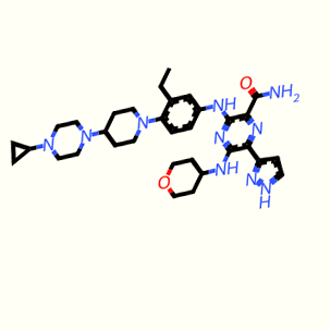 CCc1cc(Nc2nc(NC3CCOCC3)c(-c3cc[nH]n3)nc2C(N)=O)ccc1N1CCC(N2CCN(C3CC3)CC2)CC1